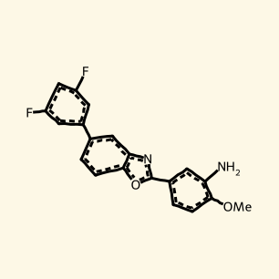 COc1ccc(-c2nc3cc(-c4cc(F)cc(F)c4)ccc3o2)cc1N